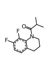 CC(C)C(=O)N1CCCc2ccc(F)c(F)c21